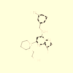 CCc1cnn2c(NCc3cccc(N)c3)cc(N3CCCC[C@@H]3CCO)nc12